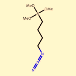 CO[Si](CCCCN=[N+]=[N-])(OC)OC